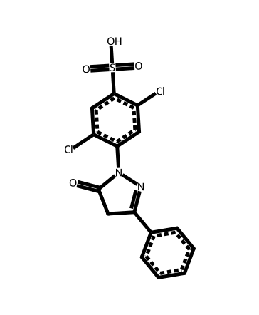 O=C1CC(c2ccccc2)=NN1c1cc(Cl)c(S(=O)(=O)O)cc1Cl